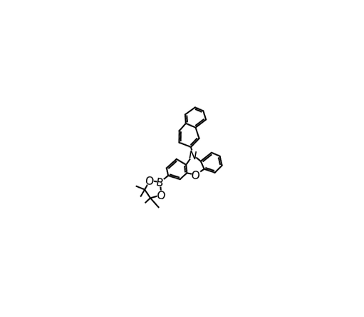 CC1(C)OB(c2ccc3c(c2)Oc2ccccc2N3c2ccc3ccccc3c2)OC1(C)C